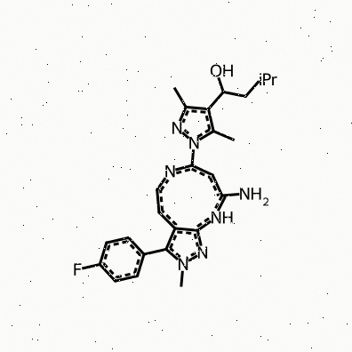 Cc1nn(-c2cc(N)[nH]c3nn(C)c(-c4ccc(F)cc4)c3ccn2)c(C)c1C(O)CC(C)C